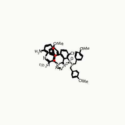 COc1ccc(CN(Cc2ccc(OC)cc2)S(=O)(=O)c2c(C(F)(F)F)ccc(-c3cc(C(=O)O)nc4c(N)cccc34)c2-c2nnnn2Cc2ccc(OC)cc2)cc1